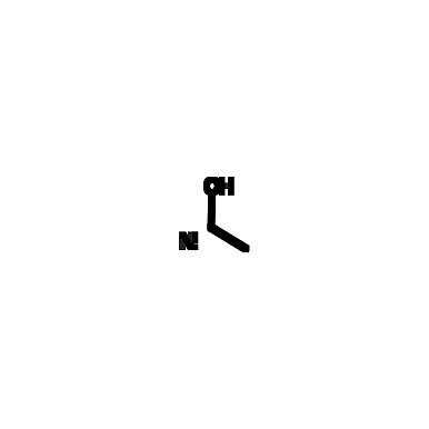 CCO.[N]